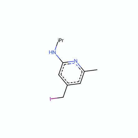 Cc1cc(CI)cc(NC(C)C)n1